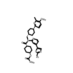 CNC(=O)O[C@H]1CC[C@H](C(=O)N(C[C@H]2CC[C@H](c3ccc(OC)c(C)n3)CC2)c2cc(-c3cnc(C(C)C)s3)ccn2)CC1